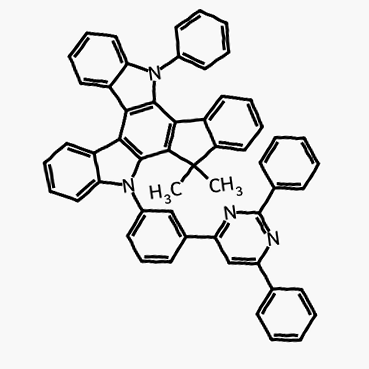 CC1(C)c2ccccc2-c2c1c1c(c3ccccc3n1-c1cccc(-c3cc(-c4ccccc4)nc(-c4ccccc4)n3)c1)c1c3ccccc3n(-c3ccccc3)c21